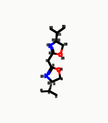 CC(C)[C@H]1COC(CC2=N[C@@H](C(C)C)CO2)=N1